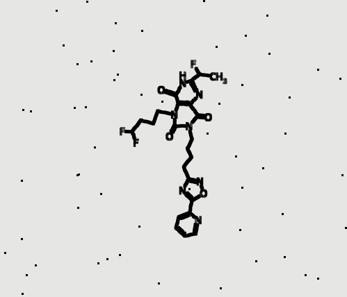 CC(F)c1nc2c(=O)n(CCCCc3noc(-c4ccccn4)n3)c(=O)n(CCCC(F)F)c2c(=O)[nH]1